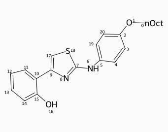 CCCCCCCCOc1ccc(Nc2nc(-c3ccccc3O)cs2)cc1